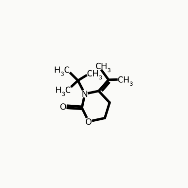 CC(C)=C1CCOC(=O)N1C(C)(C)C